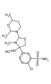 CC1CCN(C2SCC(O)(c3ccc(Cl)c(S(N)(=O)=O)c3)N2C)C(C)O1.Cl